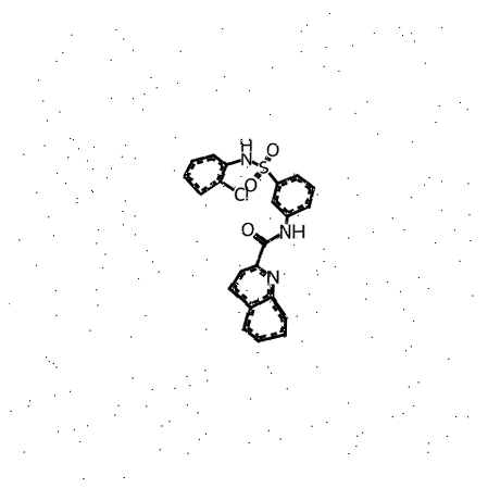 O=C(Nc1cccc(S(=O)(=O)Nc2ccccc2Cl)c1)c1ccc2ccccc2n1